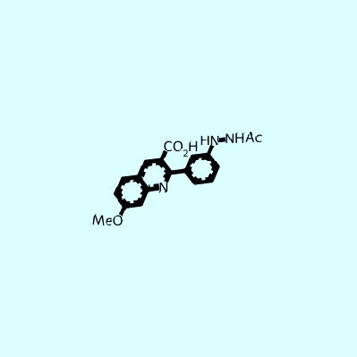 COc1ccc2cc(C(=O)O)c(-c3cccc(NNC(C)=O)c3)nc2c1